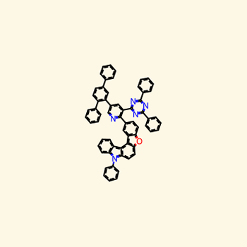 c1ccc(-c2ccc(-c3ccccc3)c(-c3cnc(-c4ccc5oc6ccc7c(c8ccccc8n7-c7ccccc7)c6c5c4)c(-c4nc(-c5ccccc5)nc(-c5ccccc5)n4)c3)c2)cc1